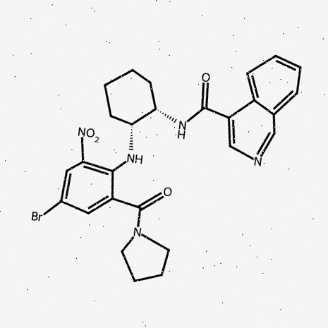 O=C(N[C@H]1CCCC[C@H]1Nc1c(C(=O)N2CCCC2)cc(Br)cc1[N+](=O)[O-])c1cncc2ccccc12